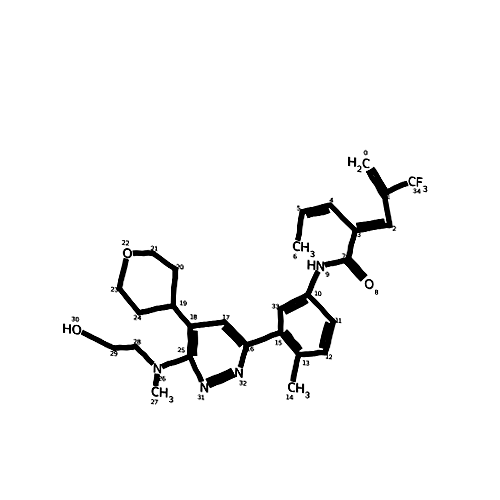 C=C(/C=C(\C=C/C)C(=O)Nc1ccc(C)c(-c2cc(C3CCOCC3)c(N(C)CCO)nn2)c1)C(F)(F)F